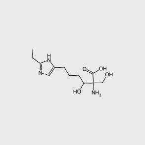 CCc1ncc(CCCC(O)C(N)(CO)C(=O)O)[nH]1